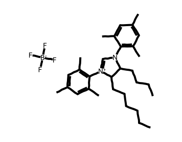 CCCCCCC1C(CCCC)N(c2c(C)cc(C)cc2C)C=[N+]1c1c(C)cc(C)cc1C.F[B-](F)(F)F